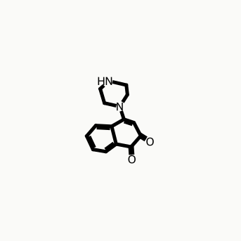 O=C1C=C(N2CCNCC2)c2ccccc2C1=O